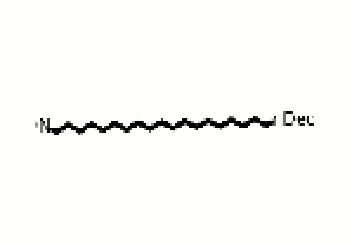 CCCCCCCCCCCCCCCCCCCCCCCCCCCCC[N]